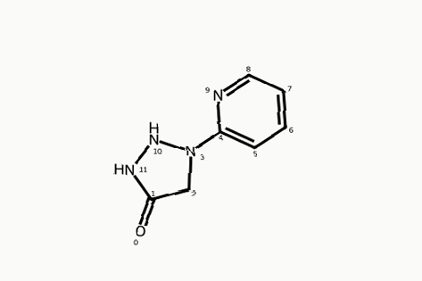 O=C1CN(c2ccccn2)NN1